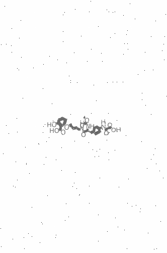 COC(=O)N[C@@H](Cc1ccc(NC(=O)C(=O)O)cc1)C(=O)NCCCCOc1cccc(O)c1C(=O)O